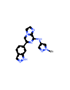 CC(C)n1cc(Nc2nc(-c3ccc4cn[nH]c4c3)cn3ccnc23)cn1